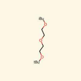 CCC(C)OCCOCCOC(C)(C)C